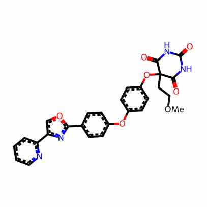 COCCC1(Oc2ccc(Oc3ccc(-c4nc(-c5ccccn5)co4)cc3)cc2)C(=O)NC(=O)NC1=O